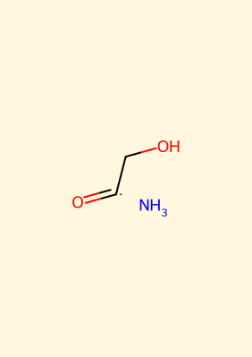 N.O=[C]CO